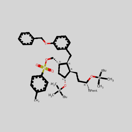 CCCCC[C@H](CC[C@@H]1[C@H](Cc2cccc(OCc3ccccc3)c2)[C@@H](COS(=O)(=O)c2ccc(C)cc2)C[C@H]1O[Si](C)(C)C(C)(C)C)O[Si](C)(C)C(C)(C)C